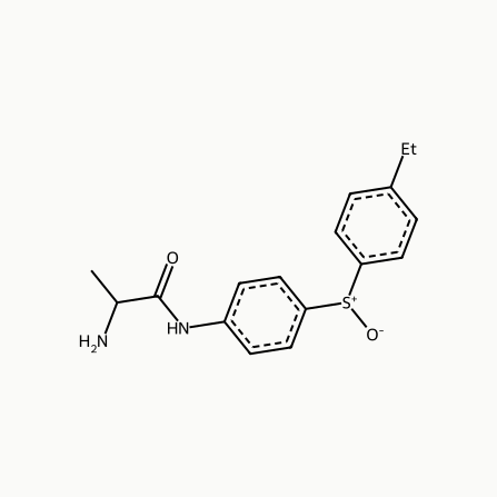 CCc1ccc([S+]([O-])c2ccc(NC(=O)C(C)N)cc2)cc1